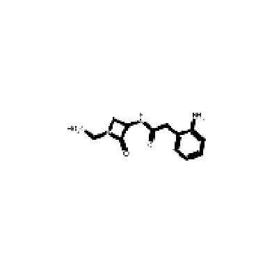 Nc1ccccc1CC(=O)NC1CN(CC(=O)O)C1=O